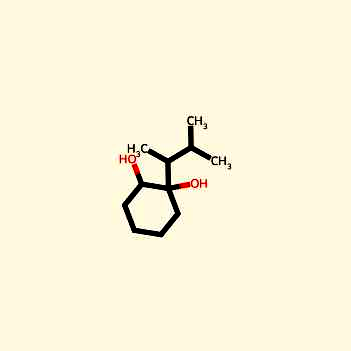 CC(C)C(C)C1(O)CCCCC1O